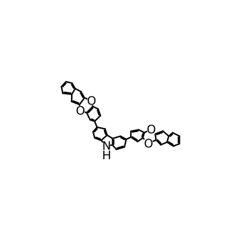 c1ccc2cc3c(cc2c1)Oc1ccc(-c2ccc4[nH]c5ccc(-c6ccc7c(c6)Oc6cc8ccccc8cc6O7)cc5c4c2)cc1O3